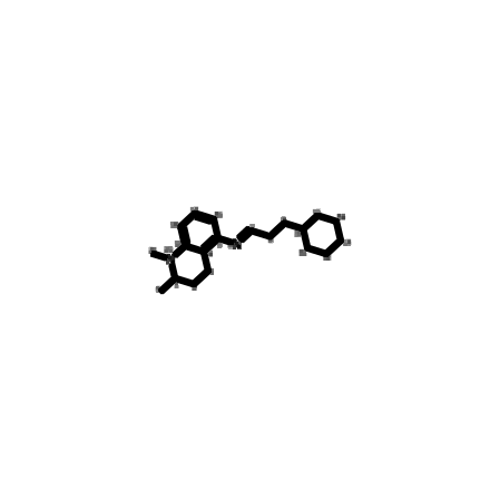 CC1CCc2c(/N=C/CCC3CCCCC3)cccc2N1C